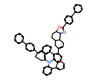 C1=CCCC(c2ccccc2N(C2=CC=C(c3ccc(-c4ccccc4)cc3)CC2)c2cccc(C3=CCC4C(CCC5OC(c6ccc(-c7ccccc7)cc6)=NC54)C3)c2-c2ccccc2)=C1